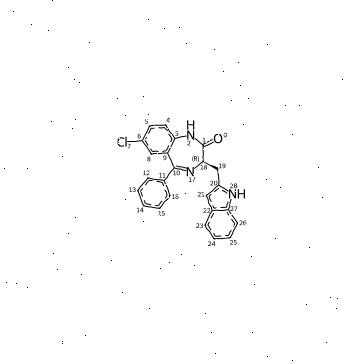 O=C1Nc2ccc(Cl)cc2C(c2ccccc2)=N[C@@H]1Cc1cc2ccccc2[nH]1